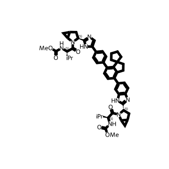 COC(=O)N[C@H](C(=O)N1C2CC2C[C@H]1c1ncc(-c2ccc(-c3ccc(-c4ccc5nc([C@@H]6CC7CC7N6C(=O)[C@@H](NC(=O)OC)C(C)C)[nH]c5c4)c4c3C3(CCCC3)CC4)cc2)[nH]1)C(C)C